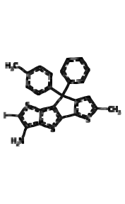 Cc1ccc(C2(c3ccccc3)c3cc(C)sc3-c3sc4c(N)c(I)sc4c32)cc1